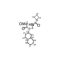 COC(=O)C(CNC(=O)C1CCC1)c1ccc2ccccc2c1